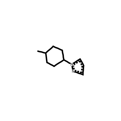 CC1CCC(n2cccn2)CC1